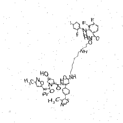 Cc1cc([C@H](C(=O)N2C[C@H](O)C[C@H]2C(=O)N[C@@H](CC(=O)NCCCCCCCNCCCONC(=O)c2ccc(F)c(F)c2Nc2ccc(I)cc2F)c2ccc(-c3scnc3C)cc2)C(C)C)on1